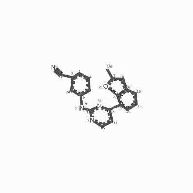 N#Cc1cccc(Nc2nccc(-c3cccc4cc(I)oc34)n2)c1